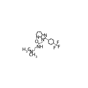 CN(C)CCNC(=O)Cn1c(-c2ccc(C(F)(F)F)cc2)nc2cccnc21